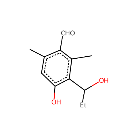 CCC(O)c1c(O)cc(C)c(C=O)c1C